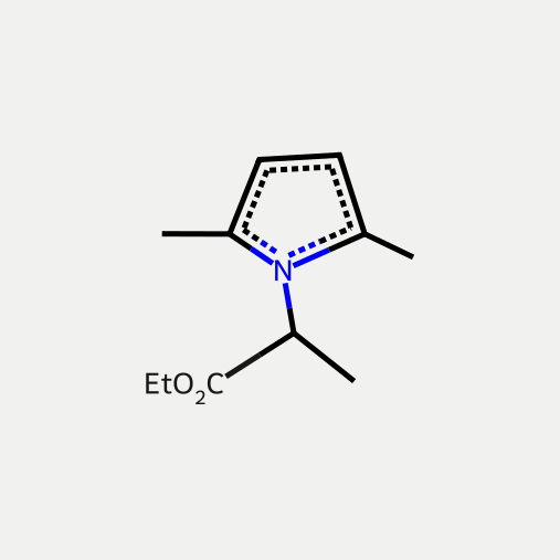 CCOC(=O)C(C)n1c(C)ccc1C